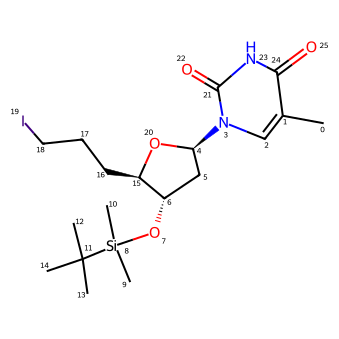 Cc1cn([C@H]2C[C@H](O[Si](C)(C)C(C)(C)C)[C@@H](CCCI)O2)c(=O)[nH]c1=O